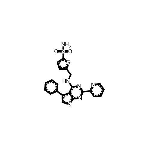 NS(=O)(=O)c1ccc(CNc2nc(-c3ccccn3)nc3scc(-c4ccccc4)c23)s1